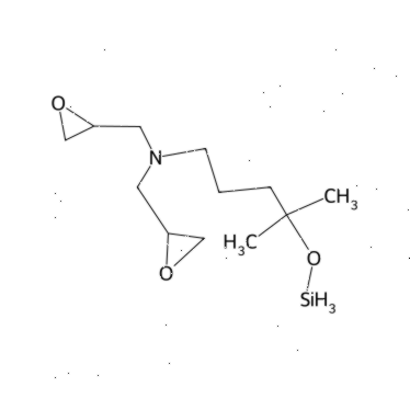 CC(C)(CCCN(CC1CO1)CC1CO1)O[SiH3]